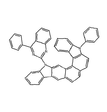 c1ccc(-c2nc(-n3c4ccccc4c4cc5ccc6ccc7c(c8ccccc8n7-c7ccccc7)c6c5cc43)nc3ccccc23)cc1